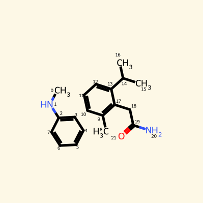 CNc1ccccc1.Cc1cccc(C(C)C)c1CC(N)=O